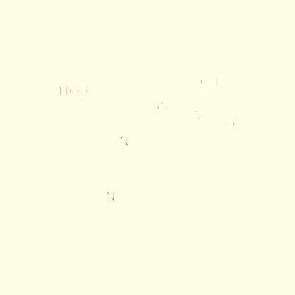 CS(=O)(=O)c1cccc2ncn(CC(=O)O)c12